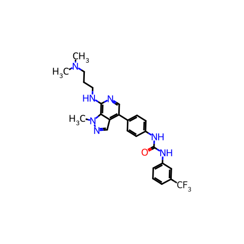 CN(C)CCCNc1ncc(-c2ccc(NC(=O)Nc3cccc(C(F)(F)F)c3)cc2)c2cnn(C)c12